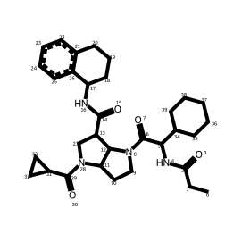 CCC(=O)NC(C(=O)N1CCC2C1C(C(=O)NC1CCCc3ccccc31)CN2C(=O)C1CC1)C1CCCCC1